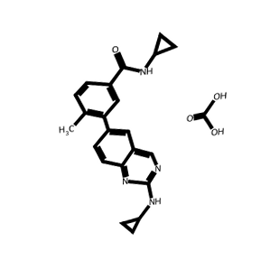 Cc1ccc(C(=O)NC2CC2)cc1-c1ccc2nc(NC3CC3)ncc2c1.O=C(O)O